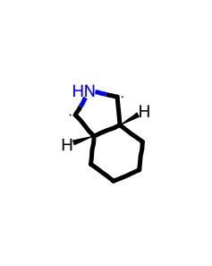 [CH]1N[CH][C@H]2CCCC[C@@H]12